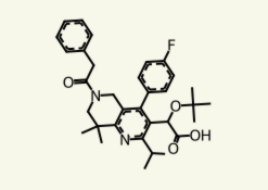 CC(C)c1nc2c(c(-c3ccc(F)cc3)c1C(OC(C)(C)C)C(=O)O)CN(C(=O)Cc1ccccc1)CC2(C)C